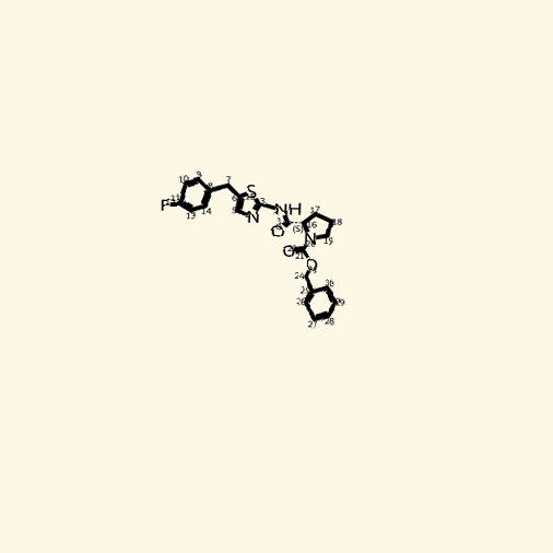 O=C(Nc1ncc(Cc2ccc(F)cc2)s1)[C@@H]1CCCN1C(=O)OCc1ccccc1